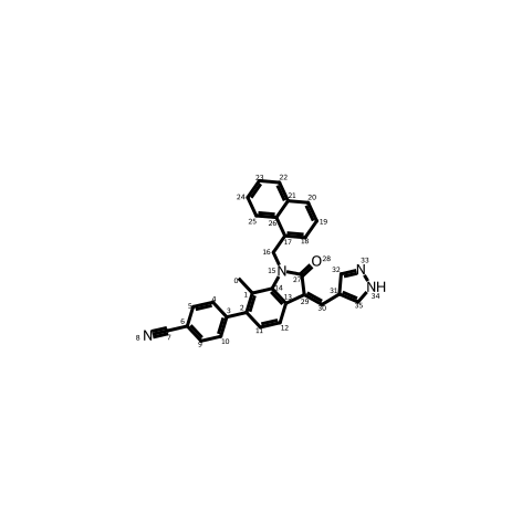 Cc1c(-c2ccc(C#N)cc2)ccc2c1N(Cc1cccc3ccccc13)C(=O)/C2=C\c1cn[nH]c1